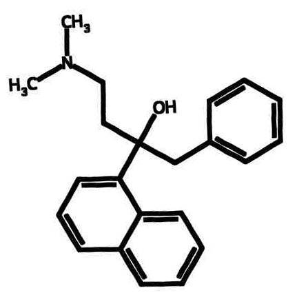 CN(C)CCC(O)(Cc1ccccc1)c1cccc2ccccc12